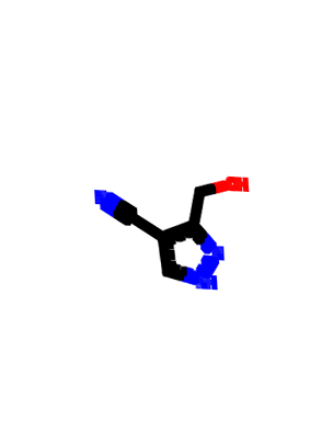 N#Cc1c[nH]nc1CO